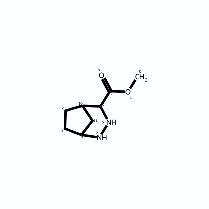 COC(=O)C1NNC2CCC1C2